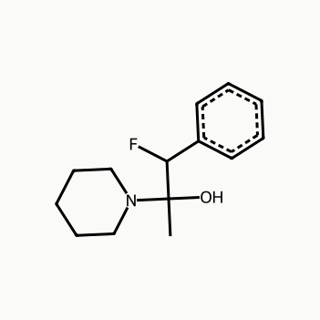 CC(O)(C(F)c1ccccc1)N1CCCCC1